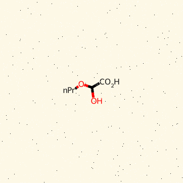 CCCOC(O)C(=O)O